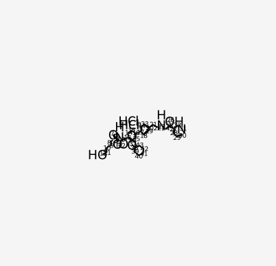 Cl.Cl.O=C(NS(=O)(=O)CCCCO)c1ccc(-c2ccc(CCNC[C@@H](O)c3cccnc3)cc2)cc1OC1CCCCC1